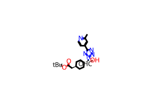 Cc1cc(-c2nnn(C[C@H]3CC[C@H](CC(=O)OC(C)(C)C)CC3)n2)ccn1.O=CO